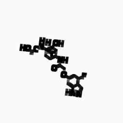 O=C(O)NC12CCC(NC(=O)COc3cc(F)c4cn[nH]c4c3)(CC1)C[C@@H]2O